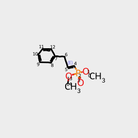 COP(=O)(/C=C/Cc1ccccc1)OC